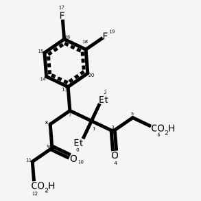 CCC(CC)(C(=O)CC(=O)O)C(CC(=O)CC(=O)O)c1ccc(F)c(F)c1